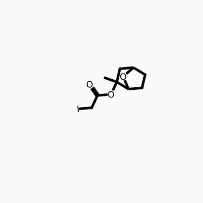 CC1(OC(=O)CI)CC2CCC1O2